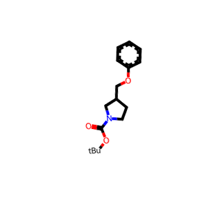 CC(C)(C)OC(=O)N1CCC(COc2ccccc2)C1